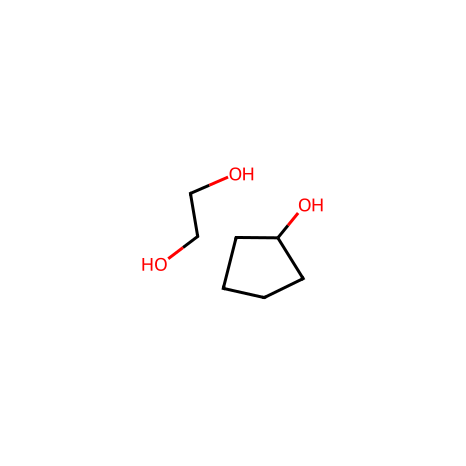 OC1CCCC1.OCCO